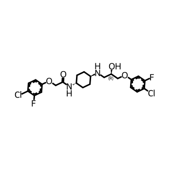 O=C(COc1ccc(Cl)c(F)c1)N[C@H]1CC[C@H](NC[C@@H](O)COc2ccc(Cl)c(F)c2)CC1